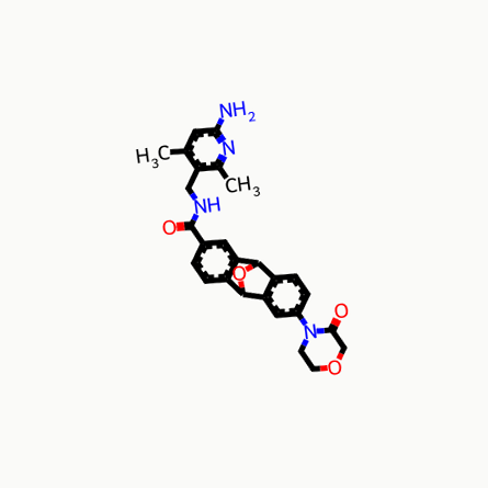 Cc1cc(N)nc(C)c1CNC(=O)c1ccc2c(c1)C1OC2c2cc(N3CCOCC3=O)ccc21